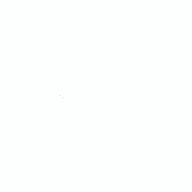 CC(C)(C)N1CC(OCC2COC2)C1